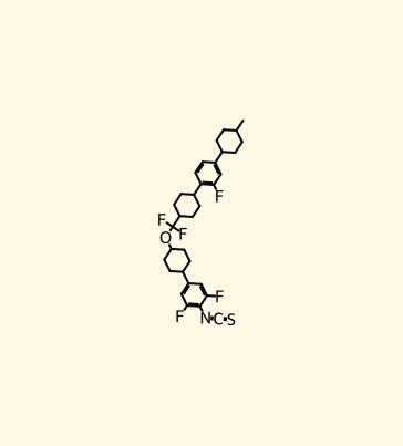 CC1CCC(c2ccc(C3CCC(C(F)(F)OC4CCC(c5cc(F)c(N=C=S)c(F)c5)CC4)CC3)c(F)c2)CC1